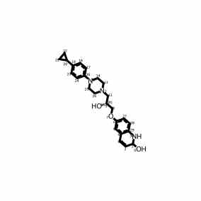 OC1C=Cc2cc(OC[C@H](O)CN3CCN(c4ccc(C5CC5)cc4)CC3)ccc2N1